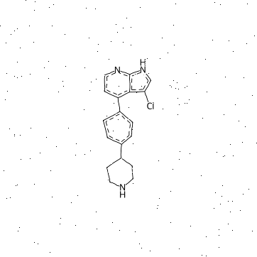 Clc1c[nH]c2nccc(-c3ccc(C4CCNCC4)cc3)c12